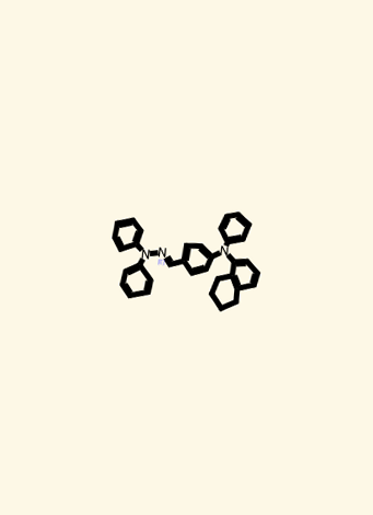 C(=N\N(c1ccccc1)c1ccccc1)/c1ccc(N(c2ccccc2)c2cccc3c2CCCC3)cc1